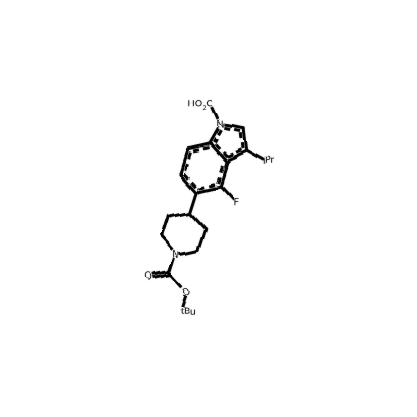 CC(C)c1cn(C(=O)O)c2ccc(C3CCN(C(=O)OC(C)(C)C)CC3)c(F)c12